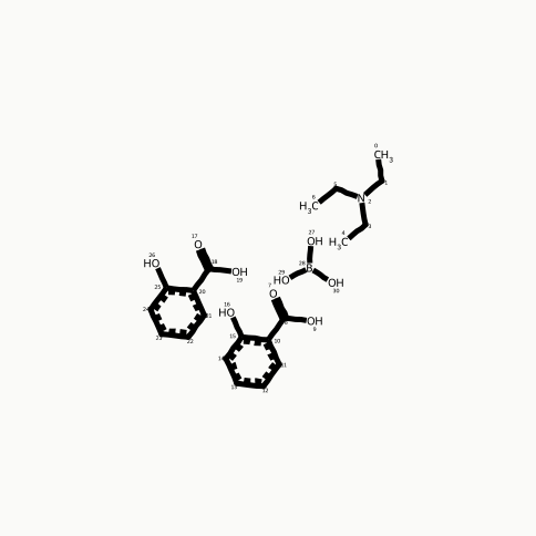 CCN(CC)CC.O=C(O)c1ccccc1O.O=C(O)c1ccccc1O.OB(O)O